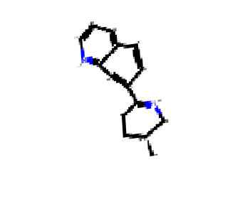 C[C@H]1CCC(c2ccc3cccnc3c2)=NC1